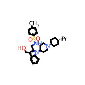 Cc1ccc(S(=O)(=O)NCc2c(CO)c3ccccc3n2C2CCN([C@H]3CC[C@@H](C(C)C)CC3)CC2)cc1